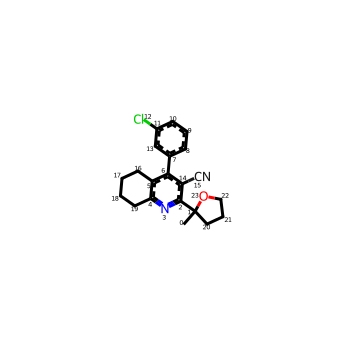 CC1(c2nc3c(c(-c4cccc(Cl)c4)c2C#N)CCCC3)CCCO1